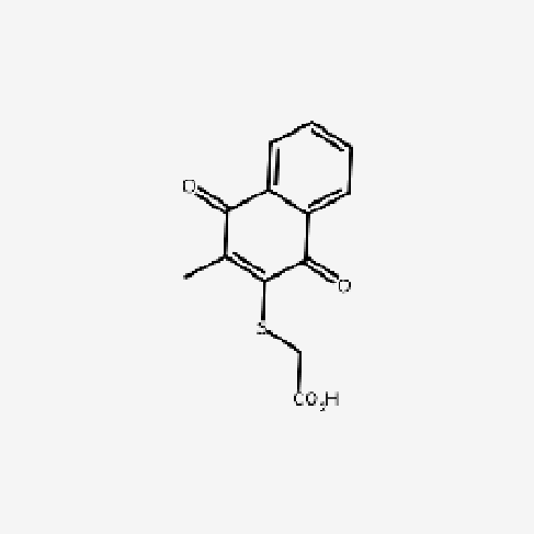 CC1=C(SCC(=O)O)C(=O)c2ccccc2C1=O